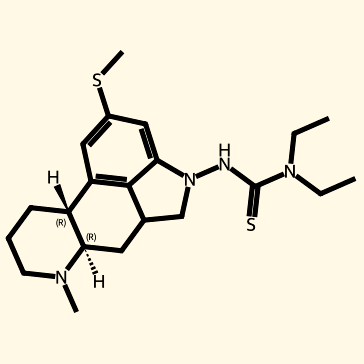 CCN(CC)C(=S)NN1CC2C[C@@H]3[C@H](CCCN3C)c3cc(SC)cc1c32